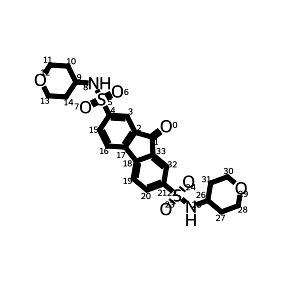 O=C1c2cc(S(=O)(=O)NC3CCOCC3)ccc2-c2ccc(S(=O)(=O)NC3CCOCC3)cc21